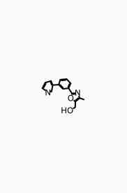 Cc1nc(-c2cccc(-c3cccnc3)c2)oc1CO